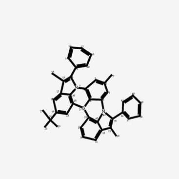 Cc1cc2c3c(c1)-n1c(-c4ccccc4)c(C)c4cc(C(C)(C)C)cc(c41)B3c1cccc3c(C)c(-c4ccccc4)n-2c13